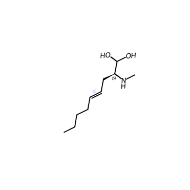 CCCC/C=C/C[C@H](NC)C(O)O